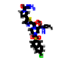 CNC(=O)C1CN(S(=O)(=O)c2ccc3cc(Cl)ccc3c2)CCN1C(=O)c1ncc(C2CCN(C(N)=O)C2)s1